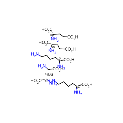 CC[C@H](C)[C@H](N)C(=O)O.NCC(=O)O.NCCCC[C@H](N)C(=O)O.NCCCC[C@H](N)C(=O)O.N[C@@H](CCC(=O)O)C(=O)O.N[C@@H](CCC(=O)O)C(=O)O